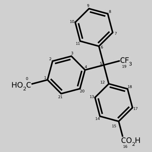 O=C(O)c1ccc(C(c2ccccc2)(c2ccc(C(=O)O)cc2)C(F)(F)F)cc1